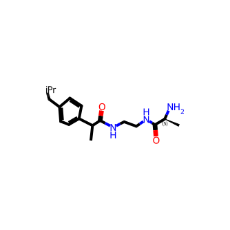 CC(C)Cc1ccc(C(C)C(=O)NCCNC(=O)[C@H](C)N)cc1